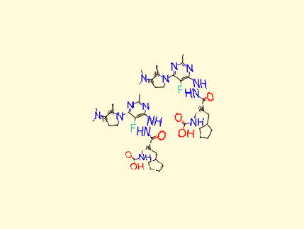 Cc1nc(NNC(=O)[C@@H](CNC(=O)O)CC2CCCC2)c(F)c(N2CC[C@@H](N(C)C)[C@H]2C)n1.Cc1nc(NNC(=O)[C@@H](CNC(=O)O)CC2CCCC2)c(F)c(N2CC[C@@H](N(C)C)[C@H]2C)n1